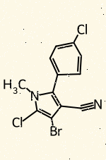 Cn1c(Cl)c(Br)c(C#N)c1-c1ccc(Cl)cc1